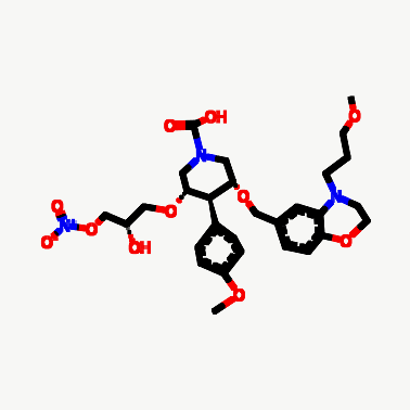 COCCCN1CCOc2ccc(CO[C@H]3CN(C(=O)O)C[C@@H](OC[C@H](O)CO[N+](=O)[O-])[C@@H]3c3ccc(OC)cc3)cc21